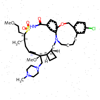 COCC[C@@H]1[C@@H](C)C/C=C/[C@](CN2CCN(C)CC2)(OC)[C@@H]2CC[C@H]2CN2CCCCc3cc(Cl)ccc3COc3ccc(cc32)C(=O)NS1(=O)=O